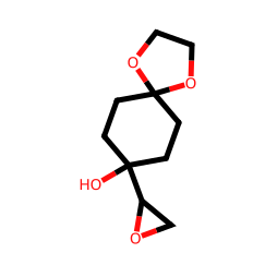 OC1(C2CO2)CCC2(CC1)OCCO2